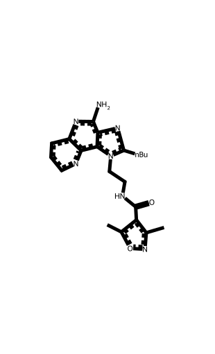 CCCCc1nc2c(N)nc3cccnc3c2n1CCNC(=O)c1c(C)noc1C